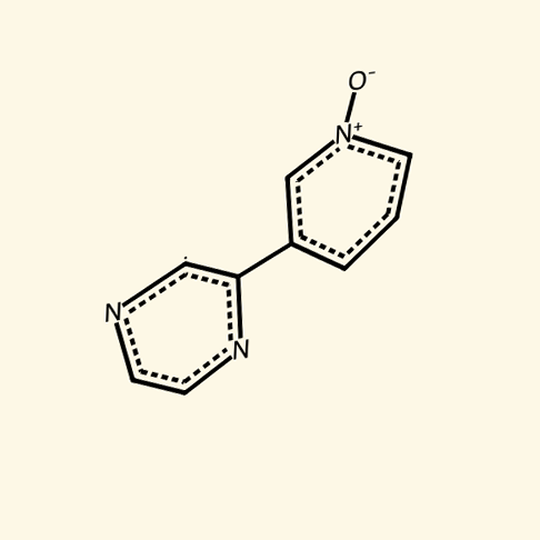 [O-][n+]1cccc(-c2[c]nccn2)c1